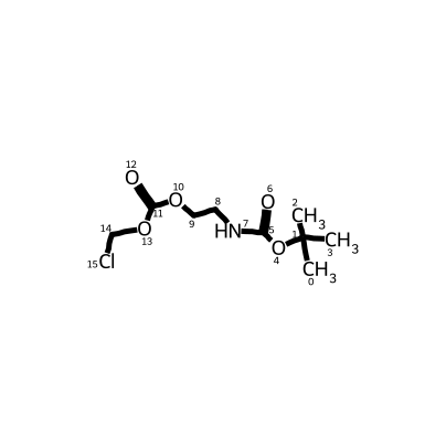 CC(C)(C)OC(=O)NCCOC(=O)OCCl